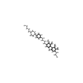 CCCCCC1CCC(c2ccc(CCCCc3cc4c(c(F)c3F)-c3c(cc(CCC)c(F)c3F)C4)cc2)CC1